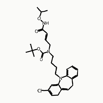 CC(C)ONC(=O)/C=C/CN(CCCCN1C2=CC(Cl)=CCC2=CCc2ccccc21)C(=O)OC(C)(C)C